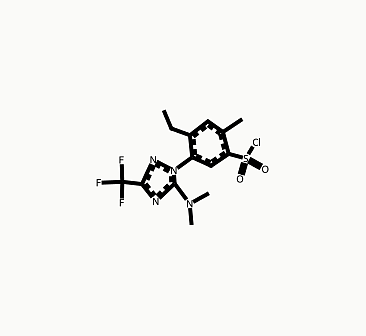 CCc1cc(C)c(S(=O)(=O)Cl)cc1-n1nc(C(F)(F)F)nc1N(C)C